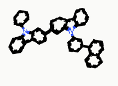 c1ccc(-n2c3ccccc3c3ccc(-c4ccc5c6ccccc6n(-c6cccc(-c7cccc8ccccc78)c6)c5c4)cc32)cc1